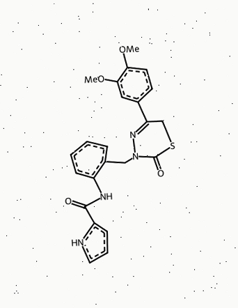 COc1ccc(C2=NN(Cc3ccccc3NC(=O)c3ccc[nH]3)C(=O)SC2)cc1OC